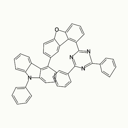 c1ccc(-c2nc(-c3ccccc3)nc(-c3cccc4oc5ccc(-c6cccc7c6c6ccccc6n7-c6ccccc6)cc5c34)n2)cc1